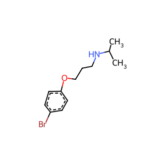 CC(C)NCCCOc1ccc(Br)cc1